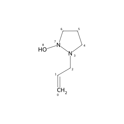 C=CCN1CCCN1O